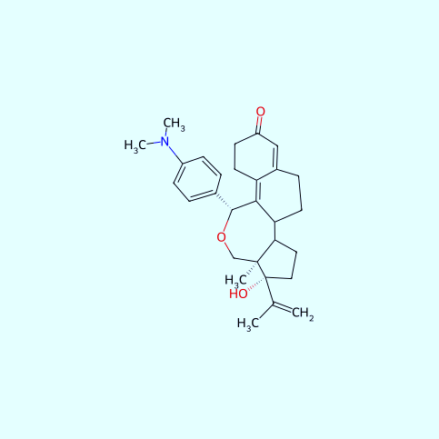 C=C(C)[C@]1(O)CCC2C3CCC4=CC(=O)CCC4=C3[C@@H](c3ccc(N(C)C)cc3)OC[C@@]21C